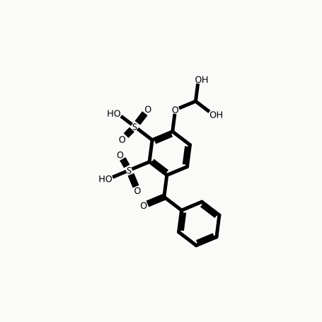 O=C(c1ccccc1)c1ccc(OC(O)O)c(S(=O)(=O)O)c1S(=O)(=O)O